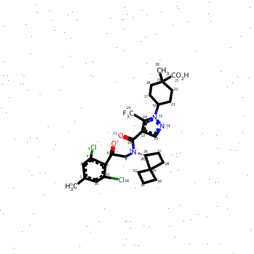 Cc1cc(Cl)c(C(=O)CN(C(=O)c2cnn(C3CCC(C)(C(=O)O)CC3)c2C(F)(F)F)[C@@H]2CCC23CCC3)c(Cl)c1